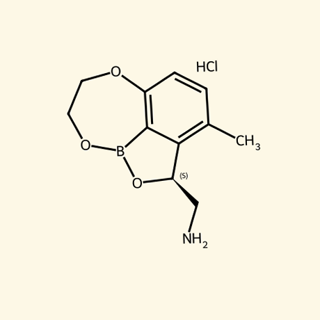 Cc1ccc2c3c1[C@@H](CN)OB3OCCO2.Cl